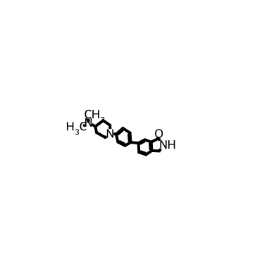 CN(C)C1CCN(c2ccc(-c3ccc4c(c3)C(=O)NC4)cc2)CC1